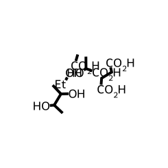 CC(=O)O.CC(O)C(=O)O.CC(O)C(C)O.CCO.O=C(O)CCC(=O)O